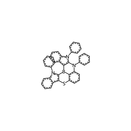 c1ccc(N2c3cccc4c3B(c3c2n(-c2ccccc2)c2ccccc32)c2c(c3ccccc3n2-c2ccccc2)S4)cc1